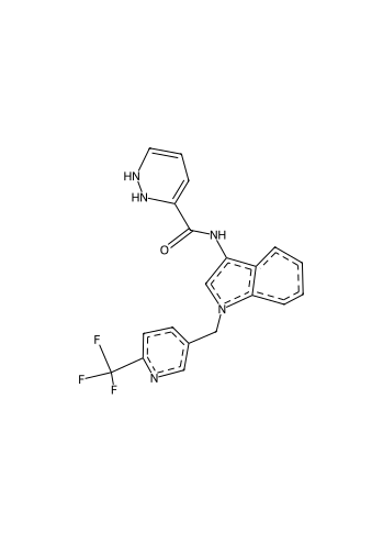 O=C(Nc1cn(Cc2ccc(C(F)(F)F)nc2)c2ccccc12)C1=CC=CNN1